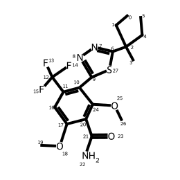 CCC(C)(CC)c1nnc(-c2c(C(F)(F)F)cc(OC)c(C(N)=O)c2OC)s1